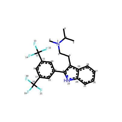 CC(C)N(C)CCc1c(-c2cc(C(F)(F)F)cc(C(F)(F)F)c2)[nH]c2ccccc12